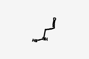 O=CCBS